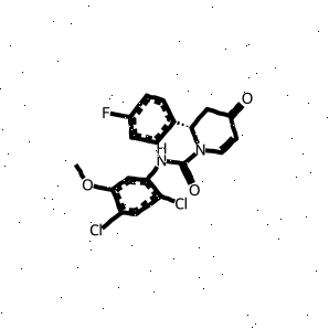 COc1cc(NC(=O)N2C=CC(=O)C[C@H]2c2ccc(F)cc2)c(Cl)cc1Cl